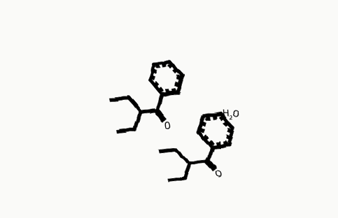 CCC(CC)C(=O)c1ccccc1.CCC(CC)C(=O)c1ccccc1.O